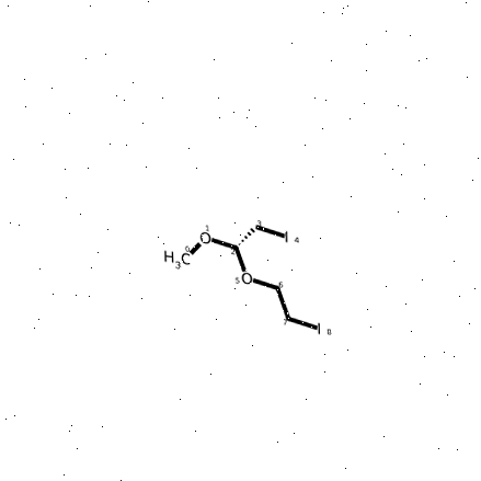 CO[C@H](CI)OCCI